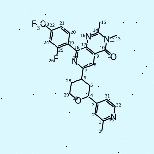 Cc1cc(C2CC(c3cc4c(=O)n(C)c(C)nc4c(-c4ccc(C(F)(F)F)cc4F)n3)CCO2)ccn1